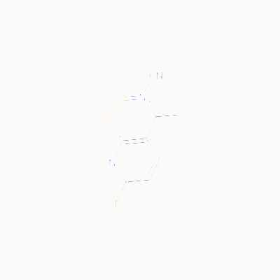 CC(c1ccc(Cl)nc1)[N+](C#N)=S(C)[O-]